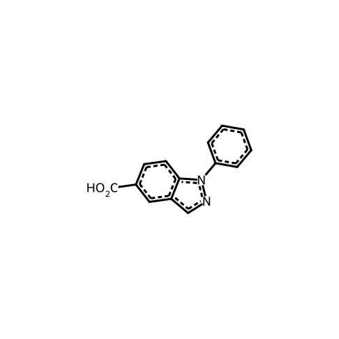 O=C(O)c1ccc2c(cnn2-c2ccccc2)c1